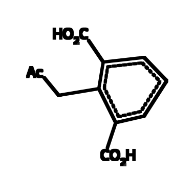 CC(=O)Cc1c(C(=O)O)cccc1C(=O)O